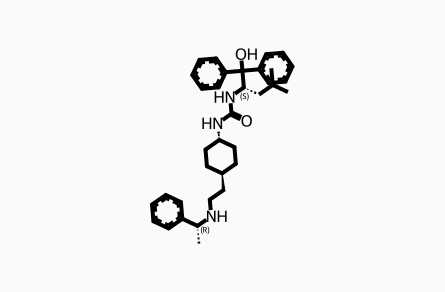 CC(C)C[C@H](NC(=O)N[C@H]1CC[C@H](CCN[C@H](C)c2ccccc2)CC1)C(O)(c1ccccc1)c1ccccc1